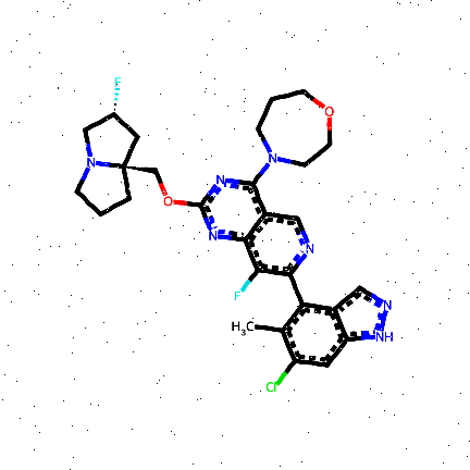 Cc1c(Cl)cc2[nH]ncc2c1-c1ncc2c(N3CCCOCC3)nc(OC[C@@]34CCCN3C[C@H](F)C4)nc2c1F